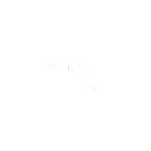 CCOC(=O)CN=C=O.O